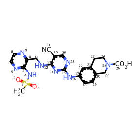 CS(=O)(=O)Nc1nccnc1CNc1nc(Nc2ccc3c(c2)CCN(C(=O)O)C3)ncc1C#N